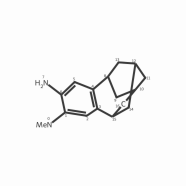 CNc1cc2c(cc1N)C1CC3CC(C1)CC2C3